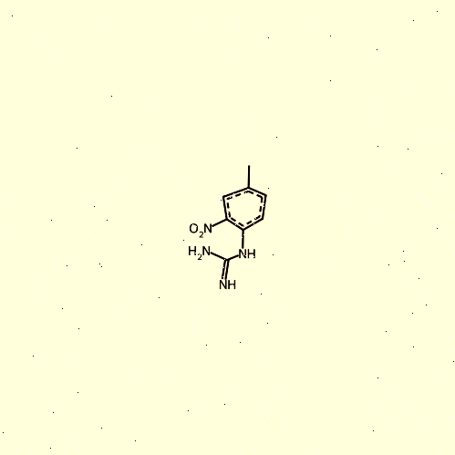 Cc1ccc(NC(=N)N)c([N+](=O)[O-])c1